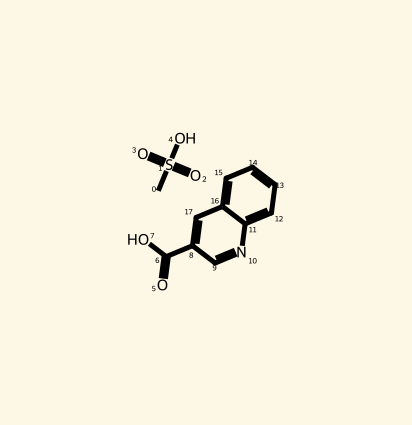 CS(=O)(=O)O.O=C(O)c1cnc2ccccc2c1